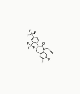 C#CCN1C(=O)C(c2ccc(C(F)(F)F)cc2C(F)(F)F)CCc2cc(F)c(F)cc21